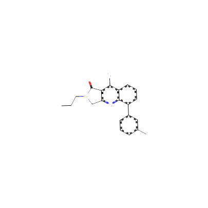 CCCN1Cc2nc3c(-c4cccc(C)c4)cccc3c(N)c2C1=O